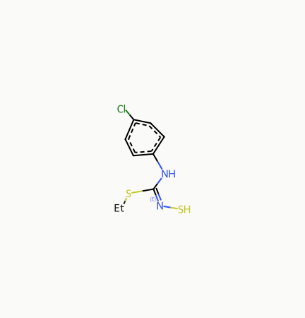 CCS/C(=N/S)Nc1ccc(Cl)cc1